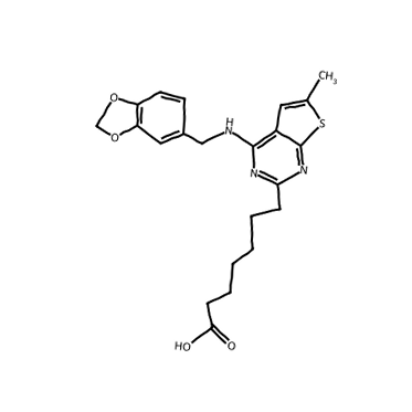 Cc1cc2c(NCc3ccc4c(c3)OCO4)nc(CCCCCCC(=O)O)nc2s1